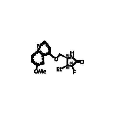 CC[C@@H]1[C@H](F)C(=O)N[C@@H]1COc1ccnc2ccc(OC)cc12